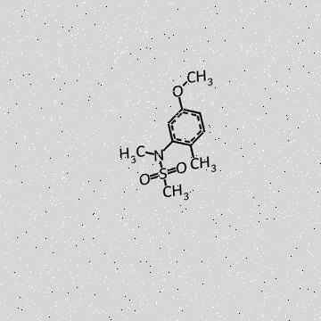 COc1ccc(C)c(N(C)S(C)(=O)=O)c1